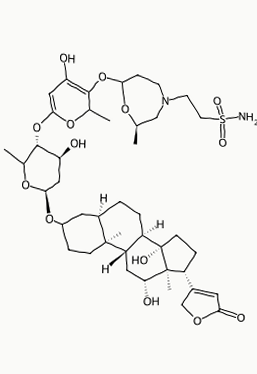 CC1OC(O[C@H]2C(C)O[C@H](OC3CC[C@@]4(C)[C@H](CC[C@@H]5[C@@H]4C[C@@H](O)[C@]4(C)[C@@H](C6=CC(=O)OC6)CC[C@]54O)C3)C[C@@H]2O)=CC(O)=C1OC1CCN(CCS(N)(=O)=O)C[C@@H](C)O1